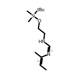 C/C=C(C)\N=C/NCCO[Si](C)(C)C(C)(C)C